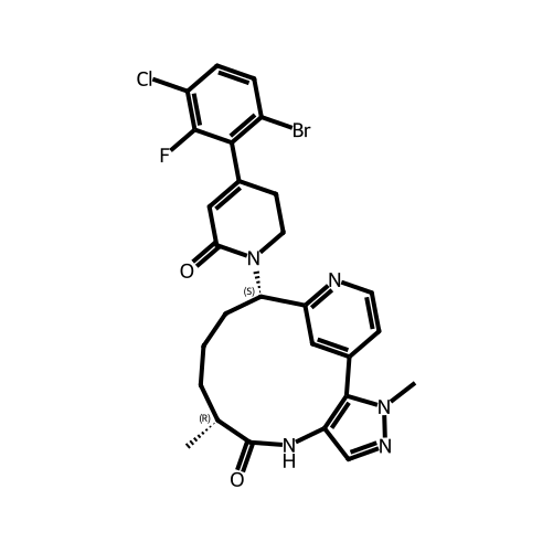 C[C@@H]1CCC[C@H](N2CCC(c3c(Br)ccc(Cl)c3F)=CC2=O)c2cc(ccn2)-c2c(cnn2C)NC1=O